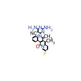 Cc1c([C@H](C)Nc2nc(N)nc(N)c2C#N)c(-c2ccccc2)c(=O)n2cc(F)ccc12